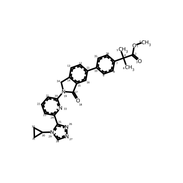 COC(=O)C(C)(C)c1ccc(-c2ccc3c(c2)C(=O)N(c2cccc(-c4nncn4C4CC4)n2)C3)cc1